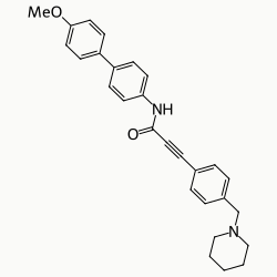 COc1ccc(-c2ccc(NC(=O)C#Cc3ccc(CN4CCCCC4)cc3)cc2)cc1